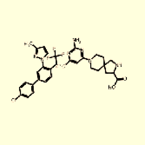 Cc1ccn(-c2cc(-c3ccc(Cl)cc3)ccc2[C@@H](Oc2cc(N3CCC4(CC3)CNC(C(=O)O)C4)nc(N)n2)C(F)(F)F)n1